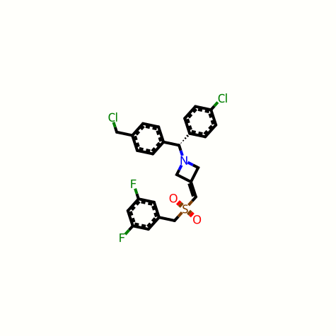 O=S(=O)(C=C1CN([C@@H](c2ccc(Cl)cc2)c2ccc(CCl)cc2)C1)Cc1cc(F)cc(F)c1